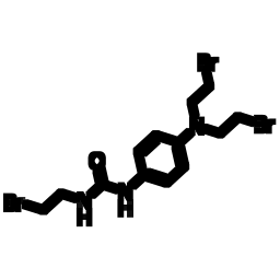 O=C(NCCBr)Nc1ccc(N(CCBr)CCBr)cc1